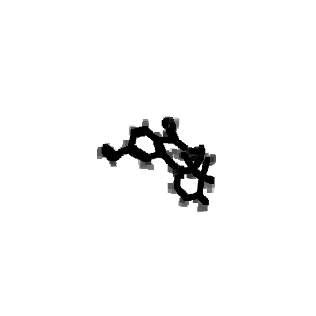 C=Cc1ccc(C(=O)O)c(N2CCC(C)C(C)(C)C2(C)C)c1